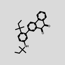 CCC(C)(C)Nc1ccc(C(C)(C)CC)c(-c2ccc3c(c2)C(=O)C(=O)c2ccccc2-3)c1